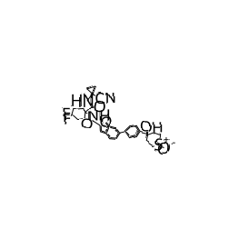 N#CC1(NC(=O)C2(NC(=O)c3cc4ccc(-c5ccc(C6(O)CC[S+]([O-])CC6)cc5)cc4o3)CCC(F)(F)CC2)CC1